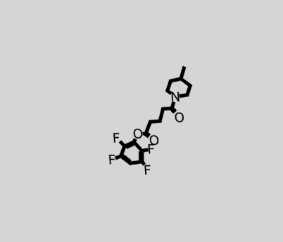 CC1CCN(C(=O)CCCC(=O)Oc2c(F)c(F)cc(F)c2F)CC1